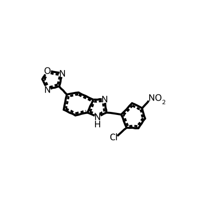 O=[N+]([O-])c1ccc(Cl)c(-c2nc3cc(-c4ncon4)ccc3[nH]2)c1